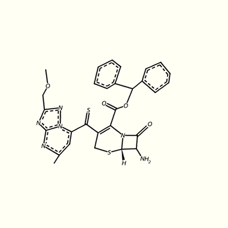 COCc1nc2nc(C)cc(C(=S)C3=C(C(=O)OC(c4ccccc4)c4ccccc4)N4C(=O)C(N)[C@@H]4SC3)n2n1